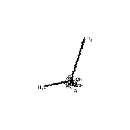 CCCCCCCCCCCCCCCCCCCCCCCCCC(=O)NC(C(O)C(O)CCCCCCCCCCCCCC)C(O)[C@H]1O[C@H](CO)[C@H](O)[C@H](O)[C@H]1O